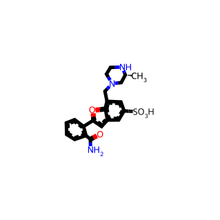 C[C@@H]1CN(Cc2cc(S(=O)(=O)O)cc3cc(-c4ccccc4C(N)=O)oc23)CCN1